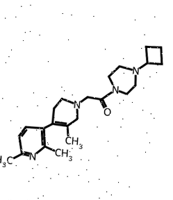 CC1=C(c2ccc(C)nc2C)CCN(CC(=O)N2CCN(C3CCC3)CC2)C1